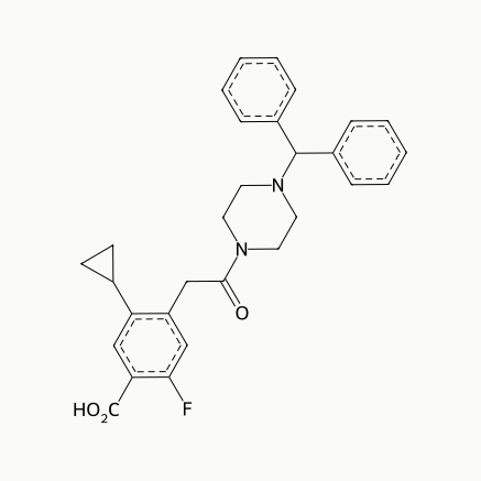 O=C(O)c1cc(C2CC2)c(CC(=O)N2CCN(C(c3ccccc3)c3ccccc3)CC2)cc1F